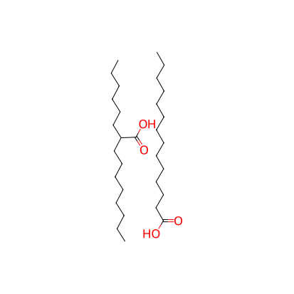 CCCCCCCCC(CCCCCC)C(=O)O.CCCCCCCCCCCCCC(=O)O